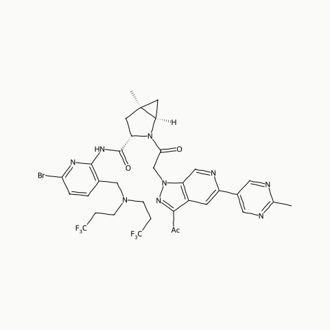 CC(=O)c1nn(CC(=O)N2[C@H](C(=O)Nc3nc(Br)ccc3CN(CCC(F)(F)F)CCC(F)(F)F)C[C@@]3(C)C[C@@H]23)c2cnc(-c3cnc(C)nc3)cc12